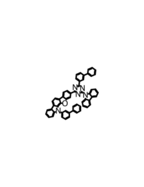 c1ccc(-c2cccc(-c3nc(-c4ccc5c(c4)oc4c5ccc5c6ccccc6n(-c6cccc(-c7ccccc7)c6)c54)nc(-n4c5ccccc5c5ccccc54)n3)c2)cc1